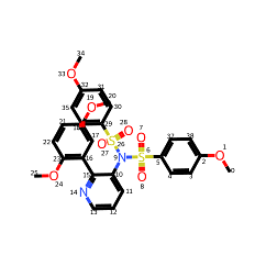 COc1ccc(S(=O)(=O)N(c2cccnc2-c2cc(OC)ccc2OC)S(=O)(=O)c2ccc(OC)cc2)cc1